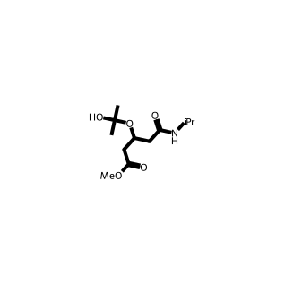 COC(=O)CC(CC(=O)NC(C)C)OC(C)(C)O